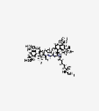 CCN1\C(=C/C=C/C=C/C(=N\CCCCCC(=O)NC)C(C)(C)c2c(C)ccc3c(S(=O)(=O)O)cc(S(=O)(=O)O)cc23)C(C)(C)c2c1ccc1c(S(=O)(=O)O)cc(S(=O)(=O)O)cc21